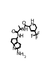 CC(NC(=O)C1C=C(C(F)(F)F)CCN1)C(=O)NC1CCc2nc(N)ccc21